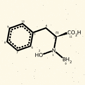 BN(O)[C@@H](Cc1ccccc1)C(=O)O